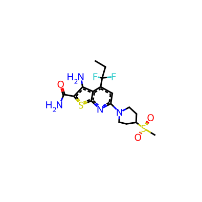 CCC(F)(F)c1cc(N2CCC(S(C)(=O)=O)CC2)nc2sc(C(N)=O)c(N)c12